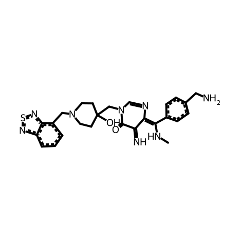 CN/C(=C1/N=CN(CC2(O)CCN(Cc3cccc4nsnc34)CC2)C(=O)C1=N)c1ccc(CN)cc1